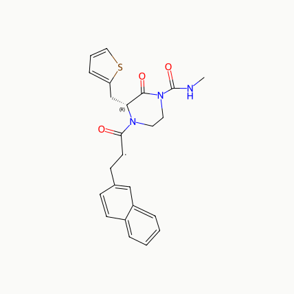 CNC(=O)N1CCN(C(=O)[CH]Cc2ccc3ccccc3c2)[C@H](Cc2cccs2)C1=O